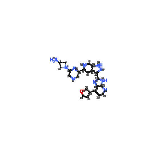 NC1CN(c2cncc(-c3cc4c(-c5nc6c(-c7ccoc7)ccnc6[nH]5)n[nH]c4cn3)n2)C1